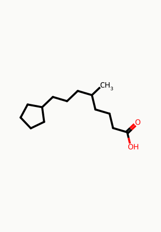 CC(CCCC(=O)O)CCCC1CCCC1